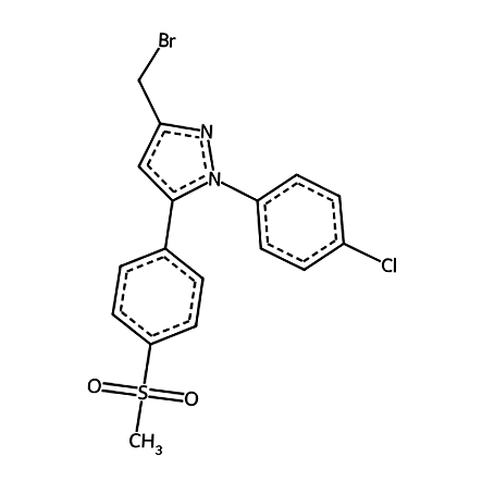 CS(=O)(=O)c1ccc(-c2cc(CBr)nn2-c2ccc(Cl)cc2)cc1